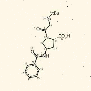 CC(C)(C)NCC(=O)N1C[C@H](NC(=O)c2ccccc2)C[C@H]1C(=O)O